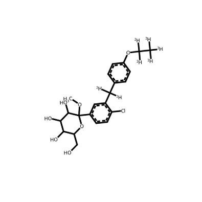 [2H]C([2H])(c1ccc(OC([2H])([2H])C([2H])([2H])[2H])cc1)c1cc(C2(OC)OC(CO)C(O)C(O)C2O)ccc1Cl